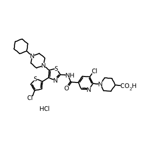 Cl.O=C(Nc1nc(-c2cc(Cl)cs2)c(N2CCN(C3CCCCC3)CC2)s1)c1cnc(N2CCC(C(=O)O)CC2)c(Cl)c1